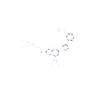 Cc1cccc(-c2ccn(-c3cc(N4CCOCC4)n4nc(C(=O)NCCN(C)C)cc4n3)n2)c1